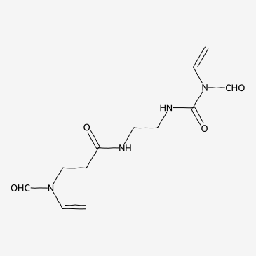 C=CN(C=O)CCC(=O)NCCNC(=O)N(C=C)C=O